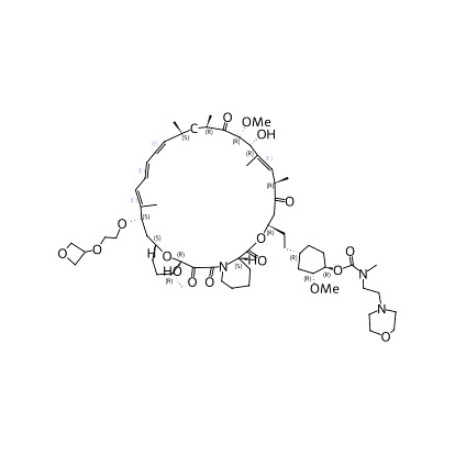 CO[C@@H]1C[C@H](CC[C@@H]2CC(=O)[C@H](C)/C=C(\C)[C@@H](O)[C@@H](OC)C(=O)[C@H](C)C[C@H](C)/C=C/C=C/C=C(\C)[C@@H](OCCOC3COC3)C[C@@H]3CC[C@@H](C)[C@@](O)(O3)C(=O)C(=O)N3CCCC[C@H]3C(=O)O2)CC[C@H]1OC(=O)N(C)CCN1CCOCC1